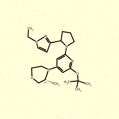 CCn1ccc(C2CCCN2c2cc(N3CCOC[C@H]3C)cc(OC(C)(C)C)n2)n1